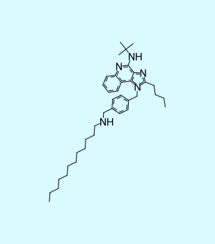 CCCCCCCCCCCCNCc1ccc(Cn2c(CCCC)nc3c(NC(C)(C)C)nc4ccccc4c32)cc1